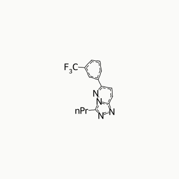 CCCc1nnc2ccc(-c3cccc(C(F)(F)F)c3)nn12